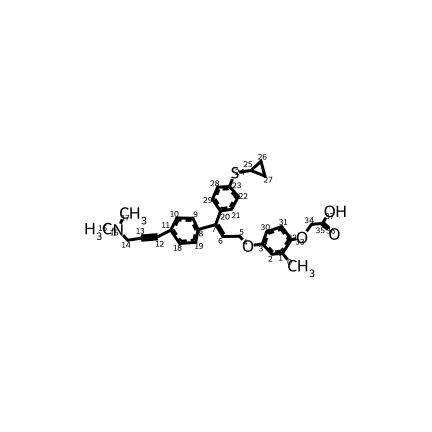 Cc1cc(OCC=C(c2ccc(C#CCN(C)C)cc2)c2ccc(SC3CC3)cc2)ccc1OCC(=O)O